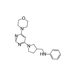 c1ccc(NCC2CCN(c3cc(N4CCOCC4)ncn3)C2)cc1